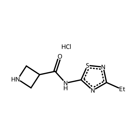 CCc1nsc(NC(=O)C2CNC2)n1.Cl